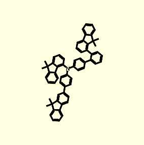 CC1(C)c2ccccc2-c2ccc(-c3ccc(N(c4ccc(-c5ccccc5-c5cccc6c5C(C)(C)c5ccccc5-6)cc4)c4cccc5c4-c4ccccc4C5(C)C)cc3)cc21